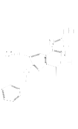 CCCc1nc(-c2cc(OC)c(OCc3ccccc3)cc2C(C)O)no1